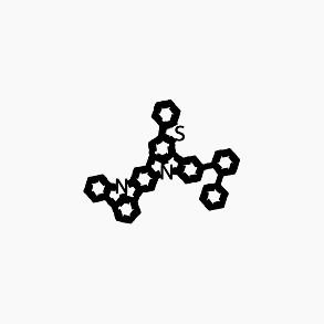 c1ccc(-c2ccccc2-c2ccc3c(c2)c2c4sc5ccccc5c4cc4c5cc6c(cc5n3c42)c2cccc3c4ccccc4n6c32)cc1